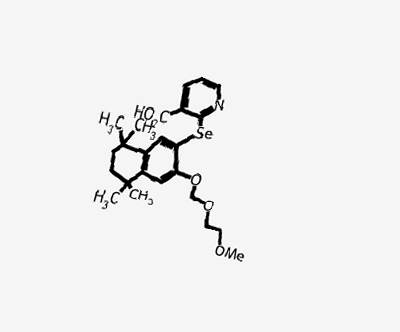 COCCOCOc1cc2c(cc1[Se]c1ncccc1C(=O)O)C(C)(C)CCC2(C)C